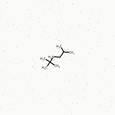 CC(C)C[SiH2]C(C)(C)C